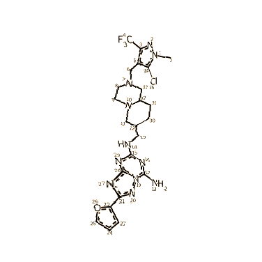 Cn1nc(C(F)(F)F)c(CN2CCN3CC(CNc4nc(N)n5nc(-c6ccco6)nc5n4)CCC3C2)c1Cl